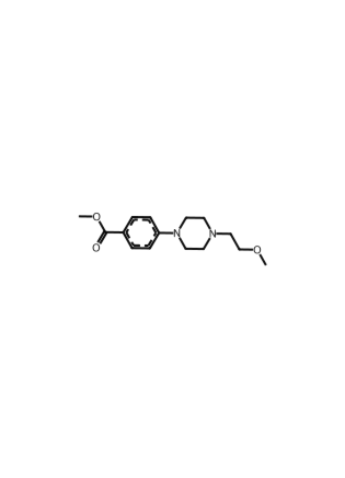 COCCN1CCN(c2ccc(C(=O)OC)cc2)CC1